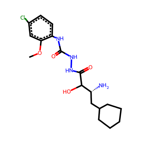 COc1cc(Cl)ccc1NC(=O)NNC(=O)C(O)[C@H](N)CC1CCCCC1